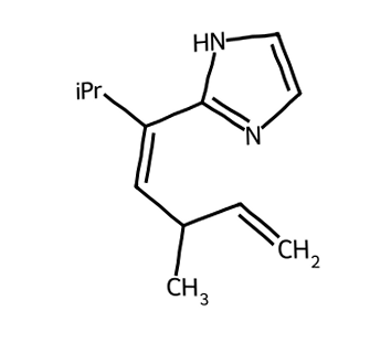 C=CC(C)/C=C(\c1ncc[nH]1)C(C)C